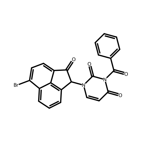 O=C1c2ccc(Br)c3cccc(c23)C1n1ccc(=O)n(C(=O)c2ccccc2)c1=O